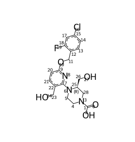 O=C(O)N1CCN(c2nc(OCc3ccc(Cl)cc3F)ccc2CO)[C@@H](CO)C1